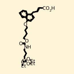 CCO[Si](CCCNC(=O)OCCCCOc1ccc(CC=CC(=O)O)c2ccccc12)(OCC)OCC